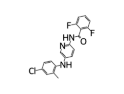 Cc1cc(Cl)ccc1Nc1ccc(NC(=O)c2c(F)cccc2F)nc1